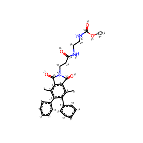 Cc1c2c(c(C)c(-c3ccccc3)c1-c1ccccc1)C(=O)N(CCC(=O)NCCNC(=O)OC(C)(C)C)C2=O